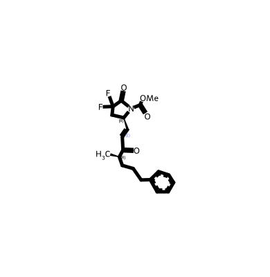 COC(=O)N1C(=O)C(F)(F)C[C@@H]1/C=C/C(=O)[C@H](C)CCCc1ccccc1